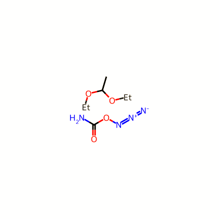 CCOC(C)OCC.[N-]=[N+]=NOC(N)=O